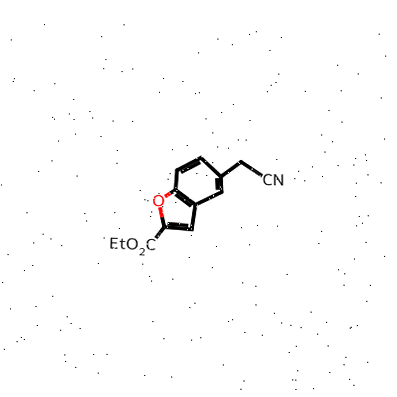 CCOC(=O)c1cc2cc(CC#N)ccc2o1